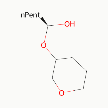 CCCCC[C@@H](O)OC1CCCOC1